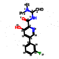 CCN(C(C)C)C(C=O)NC(=O)c1ncc(-c2cccc(F)c2)cc1O